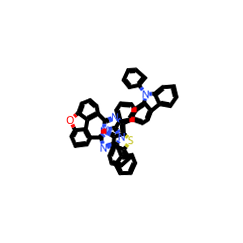 c1ccc(-c2nc(-c3ccccc3)nc(-c3cccc4oc5cccc(-c6nc(-c7ccc8c9ccccc9n(-c9ccccc9)c8c7)c7sc8ccccc8c7n6)c5c34)n2)cc1